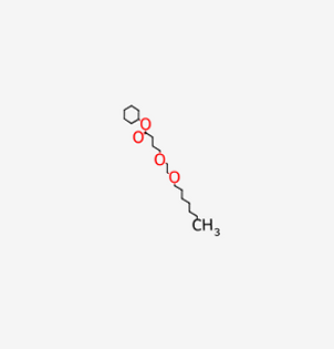 CCCCCCCOCCOCCCC(=O)OC1CCCCC1